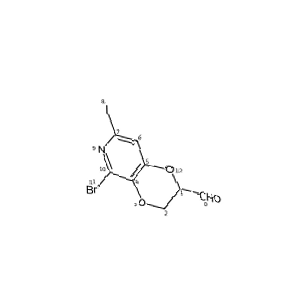 O=CC1COc2c(cc(I)nc2Br)O1